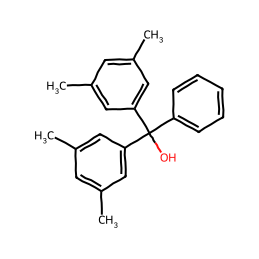 Cc1cc(C)cc(C(O)(c2ccccc2)c2cc(C)cc(C)c2)c1